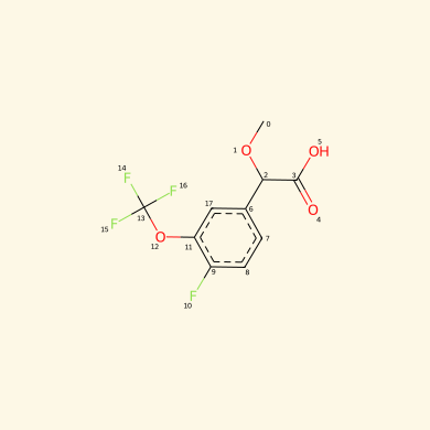 COC(C(=O)O)c1ccc(F)c(OC(F)(F)F)c1